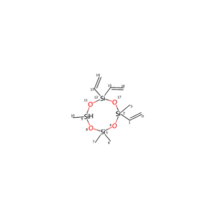 C=C[Si]1(C)O[Si](C)(C)O[SiH](C)O[Si](C=C)(C=C)O1